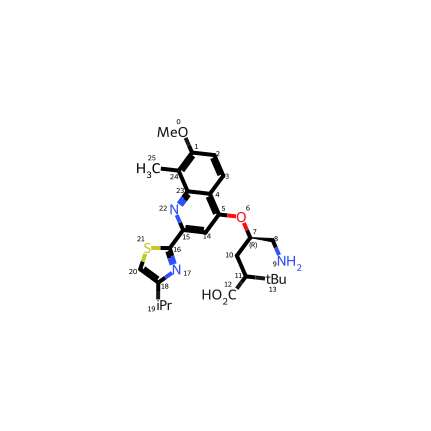 COc1ccc2c(O[C@@H](CN)CC(C(=O)O)C(C)(C)C)cc(-c3nc(C(C)C)cs3)nc2c1C